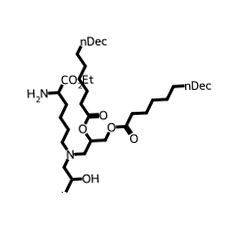 [CH2]C(O)CN(CCCCC(N)C(=O)OCC)CC(COC(=O)CCCCCCCCCCCCCCC)OC(=O)CCCCCCCCCCCCCCC